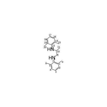 Cc1cccc(C)c1NCC(C)Nc1c(C)cccc1C